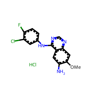 COc1cc2ncnc(Nc3ccc(F)c(Cl)c3)c2cc1N.Cl